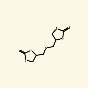 S=C1SCC(CSCC2CSC(=S)S2)S1